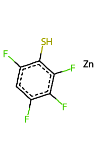 Fc1cc(F)c(S)c(F)c1F.[Zn]